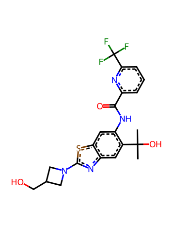 CC(C)(O)c1cc2nc(N3CC(CO)C3)sc2cc1NC(=O)c1cccc(C(F)(F)F)n1